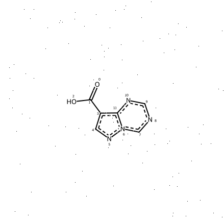 O=C(O)c1cnn2cncnc12